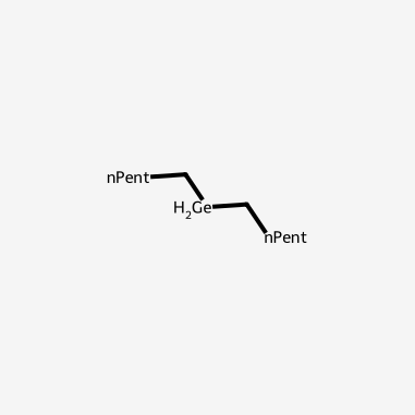 CCCCC[CH2][GeH2][CH2]CCCCC